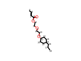 CC=CC(=O)OCCOCCOC1CCC(CCC)CC1